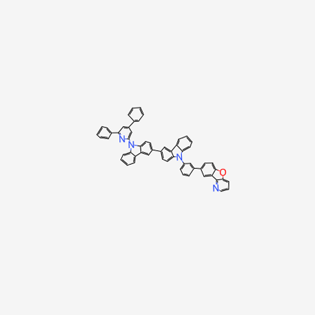 c1ccc(-c2cc(-c3ccccc3)nc(-n3c4ccccc4c4cc(-c5ccc6c(c5)c5ccccc5n6-c5cccc(-c6ccc7oc8cccnc8c7c6)c5)ccc43)c2)cc1